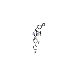 N=C(/N=C\N(O)Cc1ccc(Cl)cc1)N1CC=C(c2ccc(F)cc2)C(F)C1